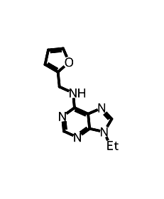 CCn1cnc2c(NCc3ccco3)ncnc21